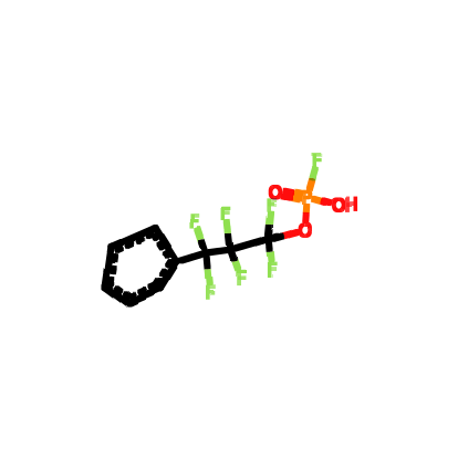 O=P(O)(F)OC(F)(F)C(F)(F)C(F)(F)c1ccccc1